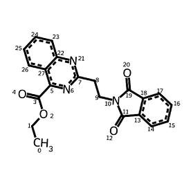 CCOC(=O)c1nc(CCN2C(=O)c3ccccc3C2=O)nc2ccccc12